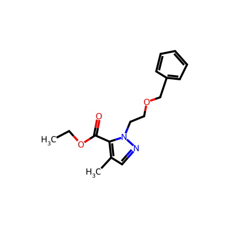 CCOC(=O)c1c(C)cnn1CCOCc1ccccc1